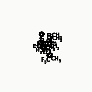 CC/C(C)=C(\CC)C(CCO/C(=C\C(=O)C(C)(C)CC)C(C)(C)CC)(C(=O)OCc1ccccc1)[C@H](C)NC(C)(C)C/C=C\c1cc(C)c(C(F)(F)F)cc1CC